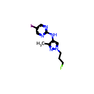 Cc1nn(CCCF)cc1Nc1ncc(I)cn1